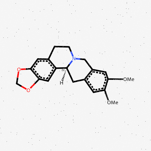 COc1cc2c(cc1OC)CN1CCc3cc4c(cc3[C@@H]1C2)OCO4